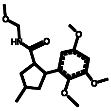 COCNC(=O)C1CC(C)CC1c1cc(OC)cc(OC)c1OC